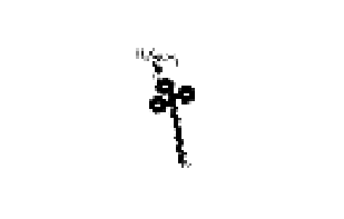 CN(C)CCOc1ccc(/C(=C(/CCCCCCCCCCBr)c2ccccc2)c2ccccc2)cc1